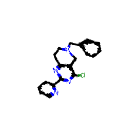 Clc1nc(-c2ccccn2)nc2c1CN(Cc1ccccc1)CC2